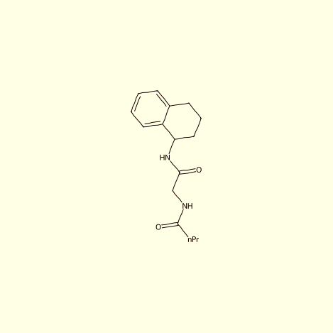 CCCC(=O)NCC(=O)NC1CCCc2ccccc21